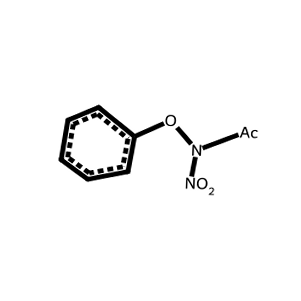 CC(=O)N(Oc1ccccc1)[N+](=O)[O-]